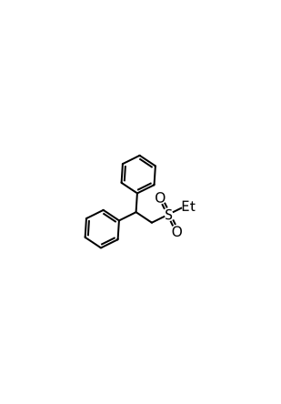 CCS(=O)(=O)CC(c1ccccc1)c1ccccc1